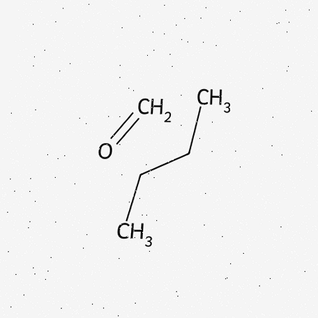 C=O.CCCC